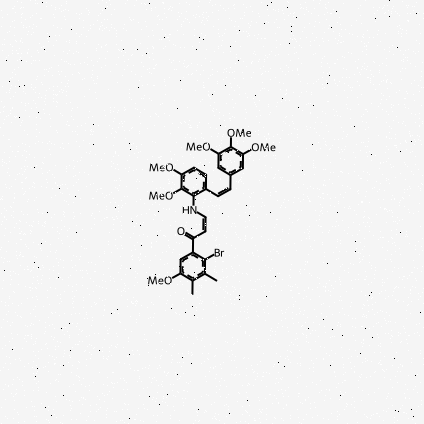 COc1cc(C(=O)/C=C\Nc2c(/C=C\c3cc(OC)c(OC)c(OC)c3)ccc(OC)c2OC)c(Br)c(C)c1C